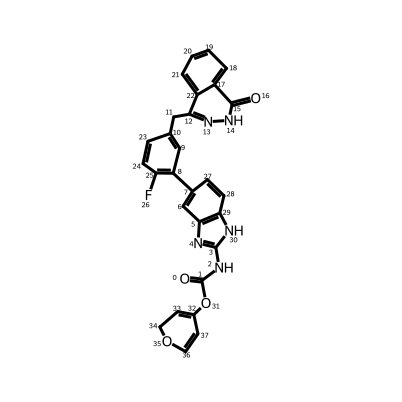 O=C(Nc1nc2cc(-c3cc(Cc4n[nH]c(=O)c5ccccc45)ccc3F)ccc2[nH]1)OC1=CCOC=C1